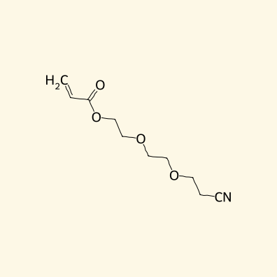 C=CC(=O)OCCOCCOCCC#N